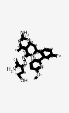 COc1cccc(-c2cc(F)ccc2C2Cc3nc(N)nc(C)c3C(=NOC(CCO)C(N)=O)N2)n1